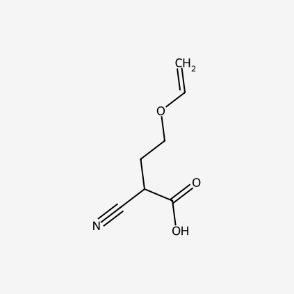 C=COCCC(C#N)C(=O)O